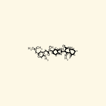 C[C@H]1CO[C@@H](CN(C)C)CN1CC(=O)N(C)c1ccc2nc(-c3c(N)c4c(F)cccc4[nH]c3=O)[nH]c2c1